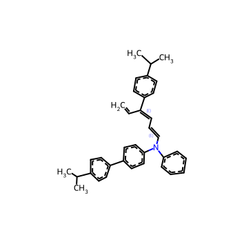 C=C/C(=C\C=C\N(c1ccccc1)c1ccc(-c2ccc(C(C)C)cc2)cc1)c1ccc(C(C)C)cc1